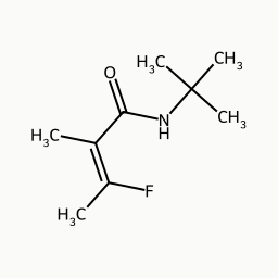 C/C(F)=C(\C)C(=O)NC(C)(C)C